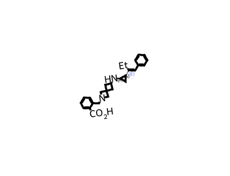 CC/C(=C\c1ccccc1)[C@@H]1C[C@H]1NC1CC2(C1)CN(Cc1ccccc1C(=O)O)C2